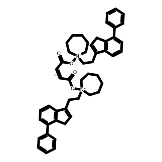 O=C(/C=C\C(=O)O[N+]1(CCC2=CCc3c2cccc3-c2ccccc2)CCCCCC1)O[N+]1(CCC2=CCc3c2cccc3-c2ccccc2)CCCCCC1